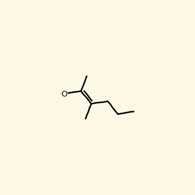 CCC/C(C)=C(\C)[O]